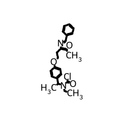 CCN(C(=O)Cl)C(C)c1ccc(OCCc2nc(-c3ccccc3)oc2C)cc1